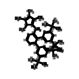 CC1=C(C)C(C)C([SiH2]c2cccc(-c3cc([Si](C)(C)C)cc([Si](C)(C)C)c3)c2-c2cc([Si](C)(C)C)cc([Si](C)(C)C)c2)=C1C